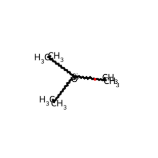 CC(C)CCCCCCCCCCCCCCCC[Si]([O])(CCCCCCCCCCCCCCCCC(C)C)CCCCCCCCCCCCCCCCC(C)C